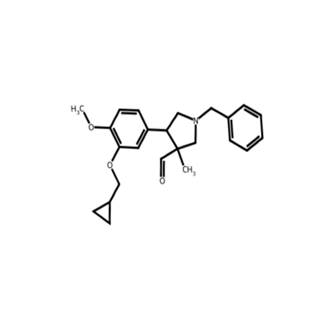 COc1ccc(C2CN(Cc3ccccc3)CC2(C)C=O)cc1OCC1CC1